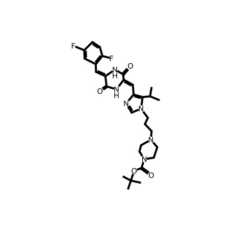 CC(C)c1c(/C=c2\[nH]c(=O)/c(=C/c3cc(F)ccc3F)[nH]c2=O)ncn1CCCN1CCN(C(=O)OC(C)(C)C)CC1